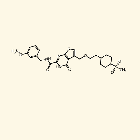 COc1cccc(CNC(=O)c2nc3scc(COCCC4CCN(S(C)(=O)=O)CC4)c3c(=O)[nH]2)c1